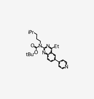 CCc1nc(N(CCCC(C)C)C(=O)OC(C)(C)C)nc2ccc(-c3ccncc3)cc12